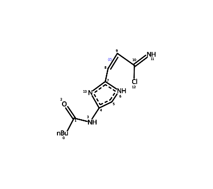 CCCCC(=O)Nc1c[nH]c(/C=C\C(=N)Cl)n1